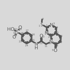 CSc1ncc2ccc(=O)n(CC(=O)Nc3ccc(S(=O)(=O)O)cc3)c2n1